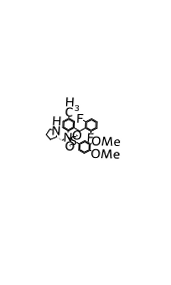 COc1ccc(S(=O)(=O)N(C[C@@H]2CCCN2)c2ccc(C)cc2Cc2c(F)cccc2F)cc1OC